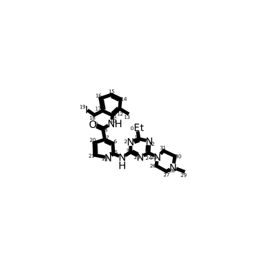 CCc1nc(Nc2cc(C(=O)Nc3c(C)cccc3CI)ccn2)nc(N2CCN(C)CC2)n1